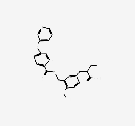 CCC(Cc1ccc(OC)c(CNC(=O)c2ccc(Oc3cccnc3)cc2)c1)C(=O)O